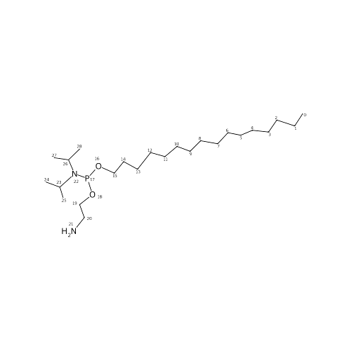 CCCCCCCCCCCCCCCCOP(OCCN)N(C(C)C)C(C)C